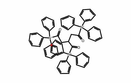 O=C(CC(CC(=O)[N+](c1ccccc1)(c1ccccc1)c1ccccc1)C(=O)[N+](c1ccccc1)(c1ccccc1)c1ccccc1)[N+](c1ccccc1)(c1ccccc1)c1ccccc1